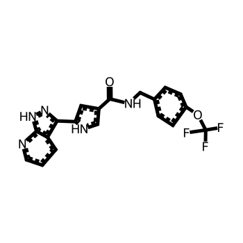 O=C(NCc1ccc(OC(F)(F)F)cc1)c1c[nH]c(-c2n[nH]c3ncccc23)c1